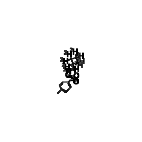 [2H]C([2H])(OS(=O)(=O)c1ccc(C)cc1)C1([2H])C([2H])([2H])C([2H])([2H])C1([2H])[2H]